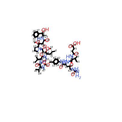 CC[C@H](C)[C@@H]([C@@H](CC(=O)N1CCC[C@H]1[C@H](OC)[C@@H](C)C(=O)N[C@H](C)[C@@H](O)c1ccccc1)OC)N(C)C(=O)[C@@H](NC(=O)[C@H](C(C)C)N(C)C(=O)OCc1ccc(NC(=O)[C@H](CCCNC(N)=O)NC(=O)[C@@H](NC(=O)CCC(=O)O)C(C)C)cc1)C(C)C